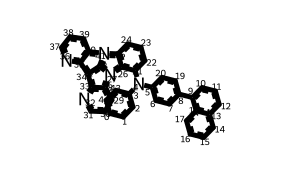 c1ccc(N(c2ccc(-c3cccc4ccccc34)cc2)c2cccc3c2n2c4cccnc4c4c5ncccc5n3c42)cc1